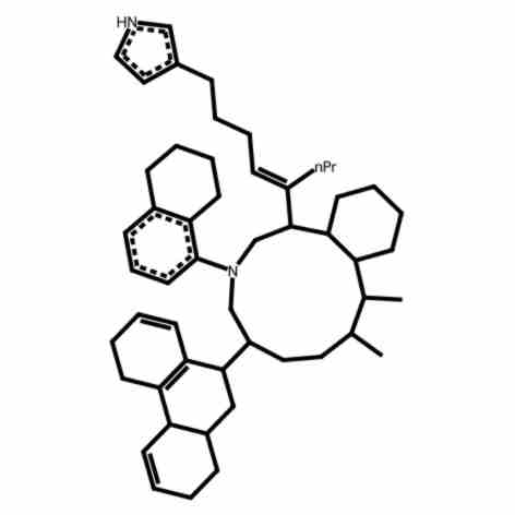 CCC/C(=C\CCCc1cc[nH]c1)C1CN(c2cccc3c2CCCC3)CC(C2CC3CCC=CC3C3=C2C=CCC3)CCC(C)C(C)C2CCCCC12